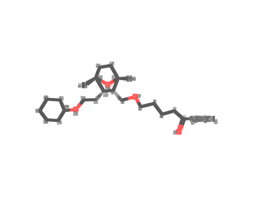 CN(O)C(=O)CCCCOC[C@@H]1[C@H](CCOC2CCCCC2)[C@@H]2CC[C@H]1O2